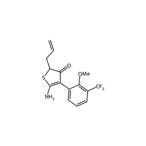 C=CCC1SC(N)=C(c2cccc(C(F)(F)F)c2OC)C1=O